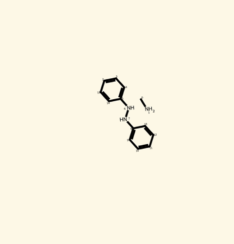 CN.c1ccc(NNc2ccccc2)cc1